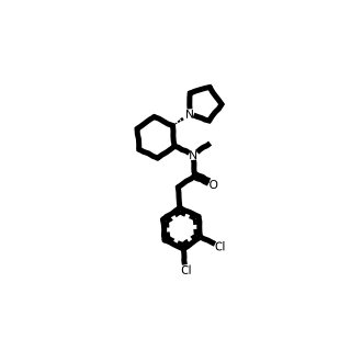 CN(C(=O)Cc1ccc(Cl)c(Cl)c1)C1CCCC[C@@H]1N1CCCC1